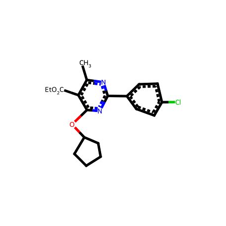 CCOC(=O)c1c(C)nc(-c2ccc(Cl)cc2)nc1OC1CCCC1